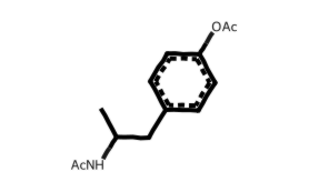 CC(=O)NC(C)Cc1ccc(OC(C)=O)cc1